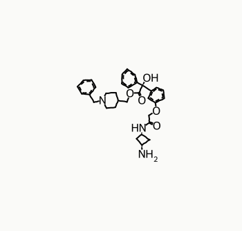 N[C@H]1C[C@H](NC(=O)COc2cccc([C@](O)(C(=O)OCC3CCN(Cc4ccccc4)CC3)c3ccccc3)c2)C1